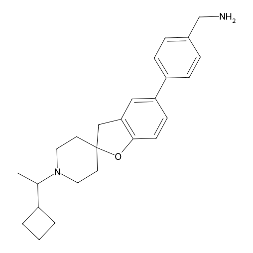 CC(C1CCC1)N1CCC2(CC1)Cc1cc(-c3ccc(CN)cc3)ccc1O2